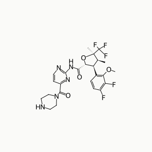 COc1c([C@H]2[C@H](C(=O)Nc3nccc(C(=O)N4CCNCC4)n3)O[C@@](C)(C(F)(F)F)[C@H]2C)ccc(F)c1F